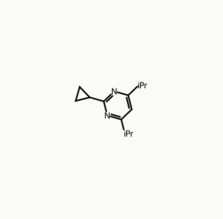 CC(C)c1cc(C(C)C)nc(C2CC2)n1